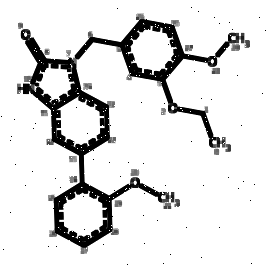 CCOc1cc(Cn2c(=O)[nH]c3cc(-c4ccccc4OC)ccc32)ccc1OC